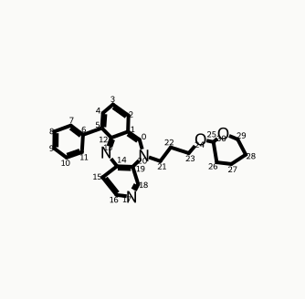 C1=c2cccc(-c3ccccc3)c2=Nc2ccncc2N1CCCOC1CCCCO1